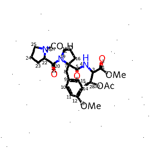 COC(=O)C(NC(=O)C1(Cc2ccc(OC)cc2)CCCN1C(=O)C1CCCN1C(=O)O)C(C)OC(C)=O